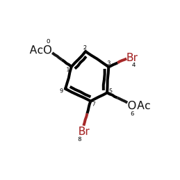 CC(=O)Oc1cc(Br)c(OC(C)=O)c(Br)c1